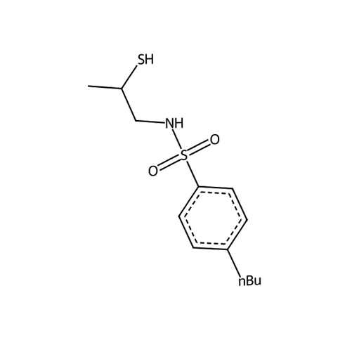 CCCCc1ccc(S(=O)(=O)NCC(C)S)cc1